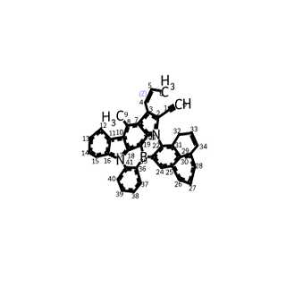 C#Cc1c(/C=C\C)c2c(C)c3c4ccccc4n4c3c3c2n1-c1c(cc2cccc5c2c1CC=C5)B3c1ccccc1-4